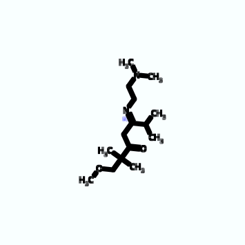 COCC(C)(C)C(=O)C/C(=N/CCN(C)C)C(C)C